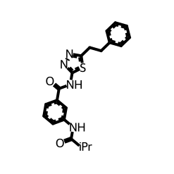 CC(C)C(=O)Nc1cccc(C(=O)Nc2nnc(CCc3ccccc3)s2)c1